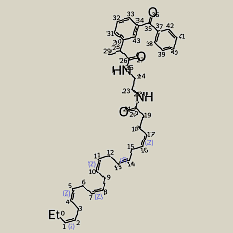 CC/C=C\C/C=C\C/C=C\C/C=C\C/C=C\C/C=C\CCC(=O)NCCNC(=O)C(C)c1cccc(C(=O)c2ccccc2)c1